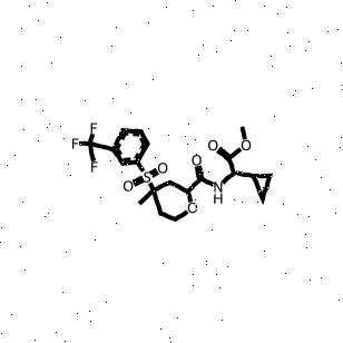 COC(=O)C(NC(=O)C1CC(C)(S(=O)(=O)c2cccc(C(F)(F)F)c2)CCO1)C1CC1